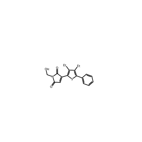 CCc1c(C2=CC(=O)N(CO)C2=O)sc(-c2ccccc2)c1CC